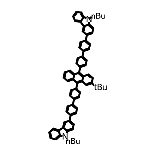 CCCCn1c2ccccc2c2cc(-c3ccc(-c4ccc(-c5c6ccccc6c(-c6ccc(-c7ccc(-c8ccc9c(c8)c8ccccc8n9CCCC)cc7)cc6)c6cc(C(C)(C)C)ccc56)cc4)cc3)ccc21